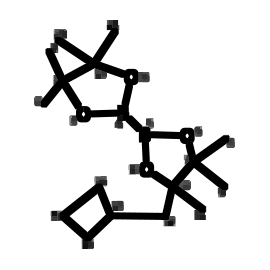 CC1(C)OB(B2OC(C)(C)C(C)(CC3CCC3)O2)OC1(C)C